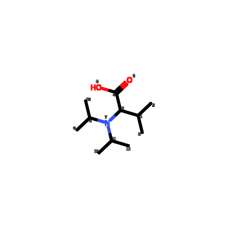 CC(C)C(C(=O)O)N(C(C)C)C(C)C